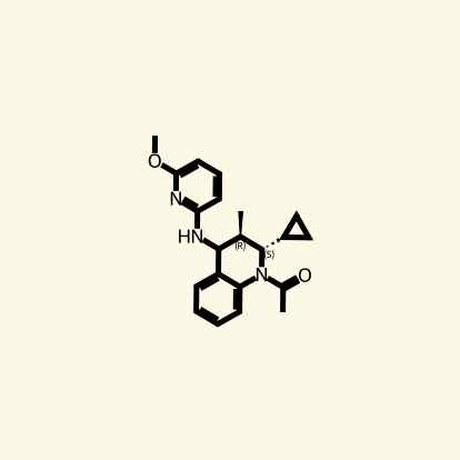 COc1cccc(NC2c3ccccc3N(C(C)=O)[C@@H](C3CC3)[C@@H]2C)n1